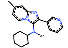 CC(=O)N(c1c(-c2cccnc2)nc2cc(C)ccn12)C1CCCCC1